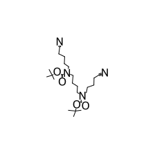 CC(C)(C)OC(=O)N(CCCCC#N)CCCCN(CCCCC#N)C(=O)OC(C)(C)C